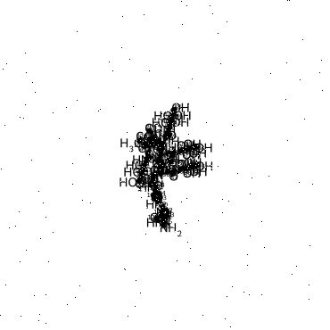 C[C@H](NC(=O)[C@H](CCC(=O)NC[C@H](O)[C@@H](O)[C@H](O)[C@H](O)CO)NC(=O)[C@H](CCC(=O)O)NC(=O)[C@H](CCC(=O)NC[C@H](O)[C@@H](O)[C@H](O)[C@H](O)CO)NC(=O)[C@H](CCC(=O)NC[C@H](O)[C@@H](O)[C@H](O)[C@H](O)CO)NC(=O)[C@H](CCC(=O)O)NC(=O)[C@H](CCC(=O)NC[C@H](O)[C@@H](O)[C@H](O)[C@H](O)CO)N[C@@H](O)CC[C@H](NC(=O)c1ccc(NCc2cnc3nc(N)[nH]c(=O)c3n2)cc1)C(=O)O)C(=O)O